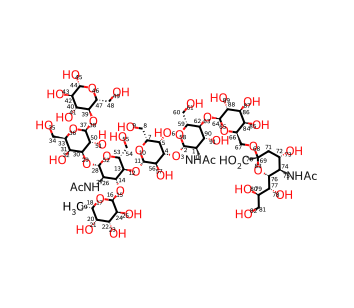 CC(=O)N[C@H]1[C@H](O[C@H]2[C@@H](O)[C@@H](CO)O[C@@H](O[C@H]3[C@H](O[C@@H]4O[C@@H](C)[C@@H](O)[C@@H](O)[C@@H]4O)[C@@H](NC(C)=O)[C@H](O[C@H]4[C@@H](O)[C@@H](CO)O[C@@H](O[C@H]5[C@H](O)[C@@H](O)[C@H](O)O[C@@H]5CO)[C@@H]4O)O[C@@H]3CO)[C@@H]2O)O[C@H](CO)[C@@H](O[C@@H]2O[C@H](CO[C@]3(C(=O)O)C[C@H](O)[C@@H](NC(C)=O)[C@H]([C@H](O)[C@H](O)CO)O3)[C@H](O)[C@H](O)[C@H]2O)[C@@H]1O